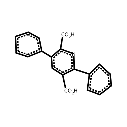 O=C(O)c1cc(-c2ccccc2)c(C(=O)O)nc1-c1ccccc1